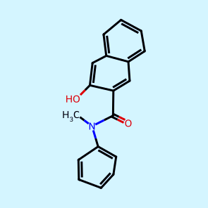 CN(C(=O)c1cc2ccccc2cc1O)c1ccccc1